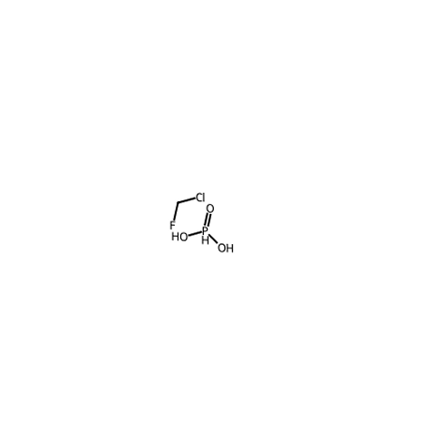 FCCl.O=[PH](O)O